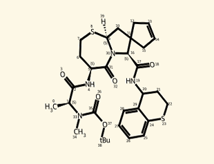 C[C@@H](C(=O)N[C@H]1CCS[C@H]2CC3(CC=CC3)[C@@H](C(=O)NC3CCSc4ccccc43)N2C1=O)N(C)C(=O)OC(C)(C)C